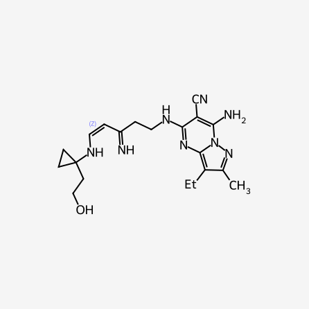 CCc1c(C)nn2c(N)c(C#N)c(NCCC(=N)/C=C\NC3(CCO)CC3)nc12